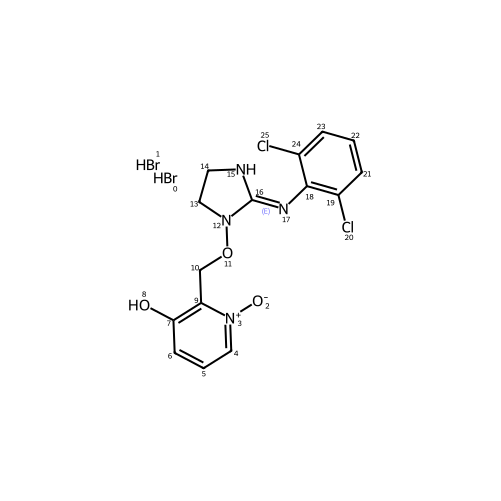 Br.Br.[O-][n+]1cccc(O)c1CON1CCN/C1=N\c1c(Cl)cccc1Cl